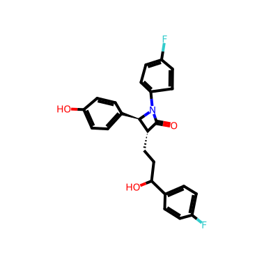 O=C1[C@H](CCC(O)c2ccc(F)cc2)[C@@H](c2ccc(O)cc2)N1c1ccc(F)cc1